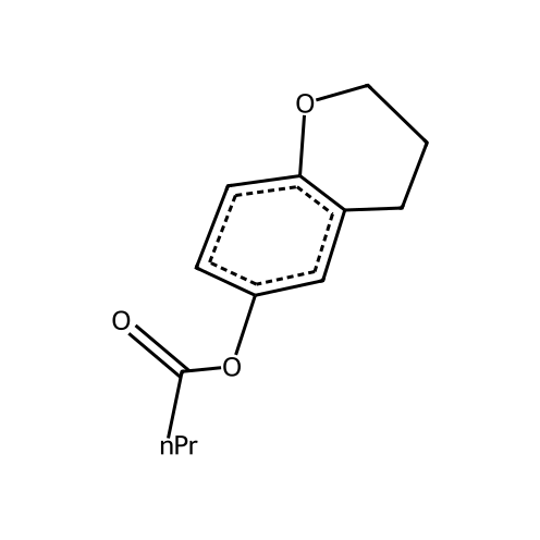 CCCC(=O)Oc1ccc2c(c1)CCCO2